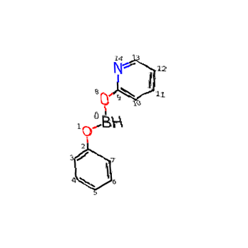 B(Oc1ccccc1)Oc1ccccn1